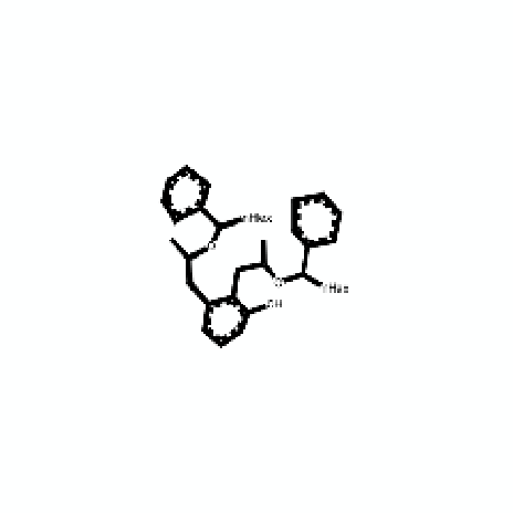 CCCCCCC(OC(C)Cc1cccc(O)c1CC(C)OC(CCCCCC)c1ccccc1)c1ccccc1